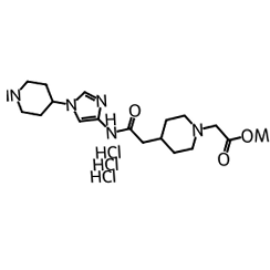 COC(=O)CN1CCC(CC(=O)Nc2cn(C3CCNCC3)cn2)CC1.Cl.Cl.Cl